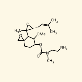 COC1C(OC(=O)N(C)CCN)CC[C@]2(CO2)C1C1(C)O[C@@H]1CC=C(C)C